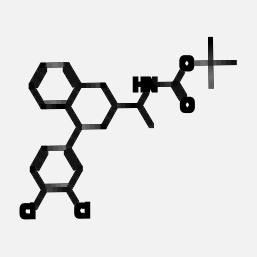 CC(NC(=O)OC(C)(C)C)C1Cc2ccccc2C(c2ccc(Cl)c(Cl)c2)C1